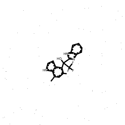 Cc1cc(C)c2[nH]ccc2c1C(O)(c1nc2ccccc2[nH]1)C(F)(F)F